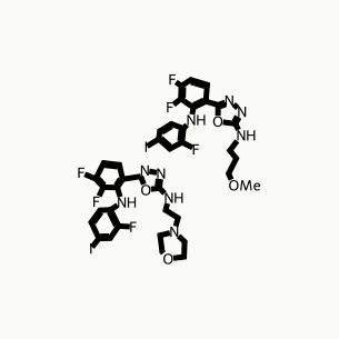 COCCCNc1nnc(-c2ccc(F)c(F)c2Nc2ccc(I)cc2F)o1.Fc1cc(I)ccc1Nc1c(-c2nnc(NCCN3CCOCC3)o2)ccc(F)c1F